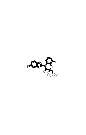 CC1(CC(=O)O)Oc2c(F)cccc2N(c2nc3ccc(F)cc3s2)C1=O